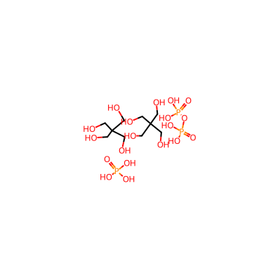 O=P(O)(O)O.O=P(O)(O)OP(=O)(O)O.OCC(CO)(CO)CO.OCC(CO)(CO)CO